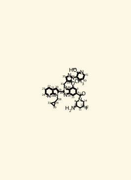 COc1cc(C(=O)N2C[C@H](N)C[C@@H](F)C2)cc2nc(-c3cc4cccnc4n3CC3CC3)n(Cc3cnn(-c4cccnc4O)c3)c12